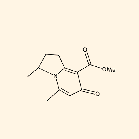 COC(=O)c1c2n(c(C)cc1=O)C(C)CC2